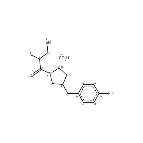 CC(CS)C(=O)N1CC(Cc2ccc(F)cc2)C[C@H]1C(=O)O